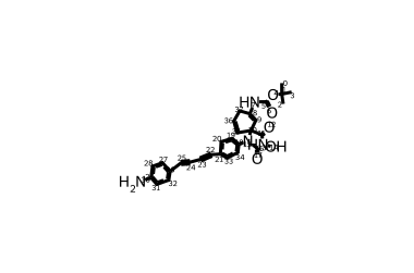 CC(C)(C)OC(=O)NC1=CC(C(=O)NO)(N(C=O)c2ccc(C#CC#Cc3ccc(N)cc3)cc2)C=CC1